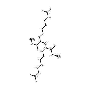 CC(CN)C(CCCCCCN(C)C)OC(CCCCCCN(C)C)C(C)CN